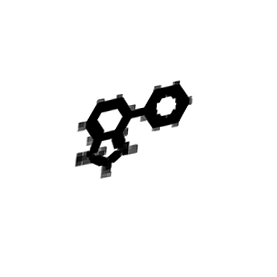 C1=C[C](c2ccccc2)C2=NSNC2=C1